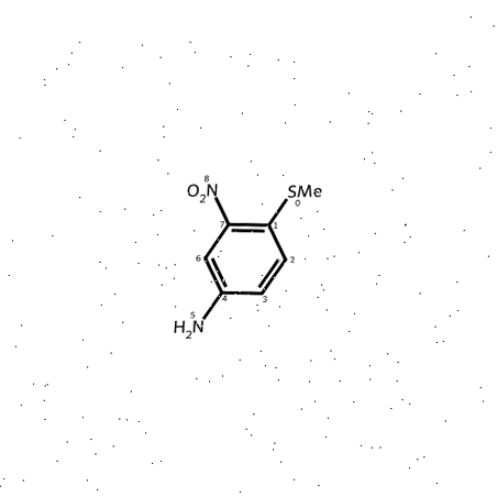 CSc1ccc(N)cc1[N+](=O)[O-]